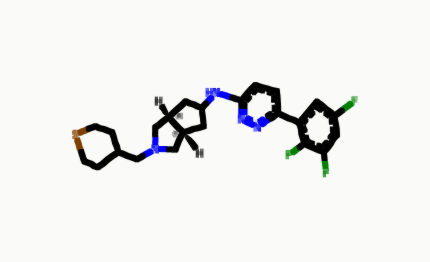 Fc1cc(F)c(F)c(-c2ccc(NC3C[C@@H]4CN(CC5CCSCC5)C[C@@H]4C3)nn2)c1